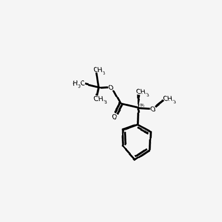 CO[C@@](C)(C(=O)OC(C)(C)C)c1ccccc1